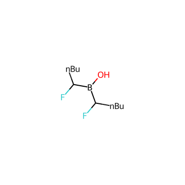 CCCCC(F)B(O)C(F)CCCC